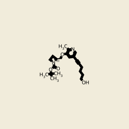 Cc1ncc(C#CCCCCO)cc1OC[C@@H]1CCN1C(=O)OC(C)(C)C